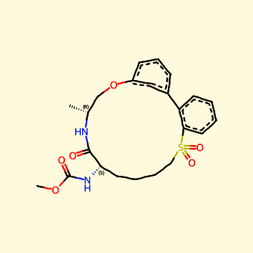 COC(=O)N[C@H]1CCCCS(=O)(=O)c2ccccc2-c2cccc(c2)OC[C@@H](C)NC1=O